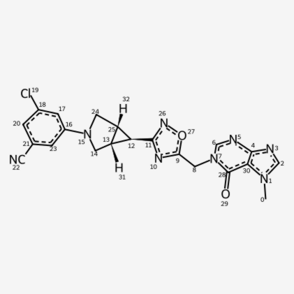 Cn1cnc2ncn(Cc3nc([C@H]4[C@@H]5CN(c6cc(Cl)cc(C#N)c6)C[C@@H]54)no3)c(=O)c21